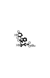 CC(C)(C)OC(=O)N1CC(C2CNC2)[C@@H]1c1cccc2c1C(C)(C)C(=O)N2C1CCC(=O)NC1=O